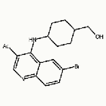 CC(=O)c1cnc2ccc(Br)cc2c1NC1CCC(CO)CC1